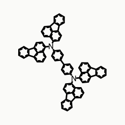 c1ccc2c(c1)-c1cccc3c(N(c4ccc(-c5ccc(N(c6ccc7c8c(cccc68)-c6ccccc6-7)c6ccc7c8c(cccc68)-c6ccccc6-7)cc5)cc4)c4ccc5c6c(cccc46)-c4ccccc4-5)ccc-2c13